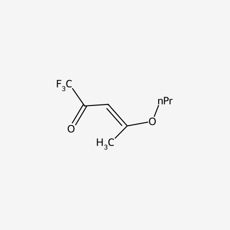 CCCOC(C)=CC(=O)C(F)(F)F